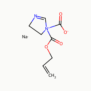 C=CCOC(=O)[N+]1(C(=O)[O-])C=NCC1.[Na]